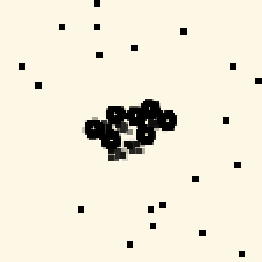 N#Cc1ccc(-n2c3ccccc3c3ccccc32)c(-c2cccc(-c3cccc(-n4c5ccccc5c5cc(C#N)ccc54)c3)c2C#N)c1